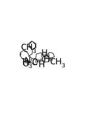 CC1=CC(Cc2ccccc2)(C2C(=O)CC[C@@]3(C)C2CC[C@H]2[C@@H]4CCC[C@@]4(C)CC[C@@H]23)N=CC=C1